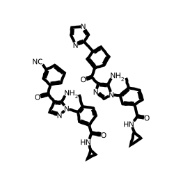 Cc1ccc(C(=O)NC2CC2)cc1-n1cnc(C(=O)c2cccc(-c3cnccn3)c2)c1N.Cc1ccc(C(=O)NC2CC2)cc1-n1ncc(C(=O)c2cccc(C#N)c2)c1N